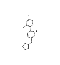 Cc1ccc(-c2ccc(CC3CCCC3)c[n+]2C)c(C)c1